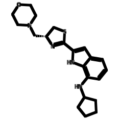 c1cc(NC2CCCC2)c2[nH]c(C3=N[C@H](CN4CCOCC4)CS3)cc2c1